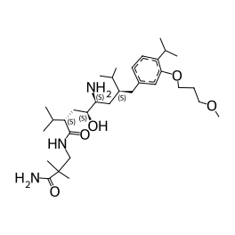 COCCCOc1cc(C[C@@H](C[C@H](N)[C@@H](O)C[C@H](C(=O)NCC(C)(C)C(N)=O)C(C)C)C(C)C)ccc1C(C)C